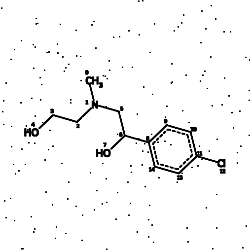 CN(CCO)CC(O)c1ccc(Cl)cc1